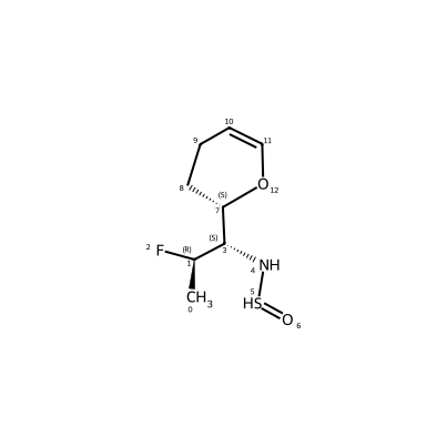 C[C@@H](F)[C@@H](N[SH]=O)[C@@H]1CCC=CO1